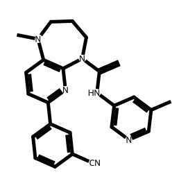 C=C(Nc1cncc(C)c1)N1CCCN(C)c2ccc(-c3cccc(C#N)c3)nc21